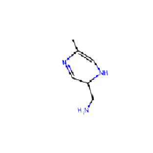 CC1=CNC(CN)C=N1